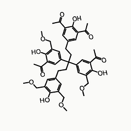 COCc1cc(CCC(CCc2cc(C(C)=O)c(O)c(C(C)=O)c2)(c2cc(COC)c(O)c(C(C)=O)c2)c2cc(COC)c(O)c(C(C)=O)c2)cc(COC)c1O